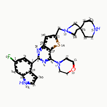 Fc1cc(-c2nc(N3CCOCC3)c3sc(CN4CC5(CCNCC5)C4)cc3n2)c2cc[nH]c2c1